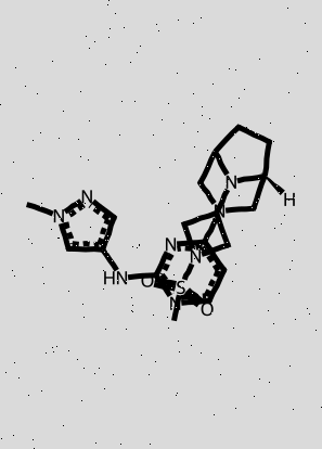 Cn1cc(Nc2nccc(N3CC4CC[C@H](C3)N4C3CN(S(C)(=O)=O)C3)n2)cn1